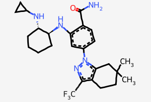 CC1(C)CCc2c(C(F)(F)F)nn(-c3ccc(C(N)=O)c(N[C@H]4CCCC[C@@H]4NC4CC4)c3)c2C1